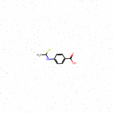 CC(S)Nc1ccc(C(=O)O)cc1